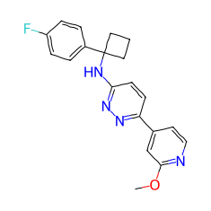 COc1cc(-c2ccc(NC3(c4ccc(F)cc4)CCC3)nn2)ccn1